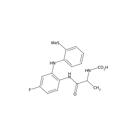 CSc1ccccc1Nc1cc(F)ccc1NC(=O)C(C)NC(=O)O